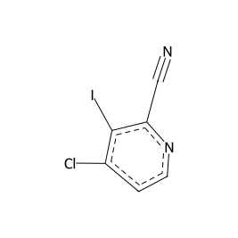 N#Cc1nccc(Cl)c1I